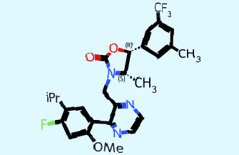 COc1cc(F)c(C(C)C)cc1-c1nccnc1CN1C(=O)O[C@H](c2cc(C)cc(C(F)(F)F)c2)[C@@H]1C